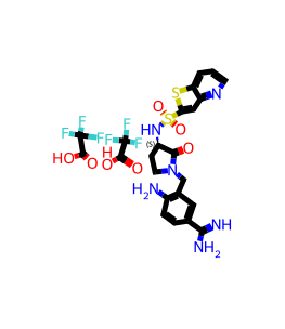 N=C(N)c1ccc(N)c(CN2CC[C@H](NS(=O)(=O)c3cc4ncccc4s3)C2=O)c1.O=C(O)C(F)(F)F.O=C(O)C(F)(F)F